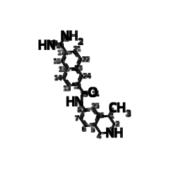 CC1CNCc2ccc(NC(=O)c3ccc4cc(C(=N)N)ccc4c3)cc21